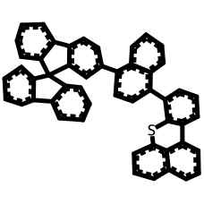 c1ccc2c(c1)-c1ccccc1C21c2ccccc2-c2ccc(-c3ccc(-c4cccc5c4Sc4cccc6cccc-5c46)c4ccccc34)cc21